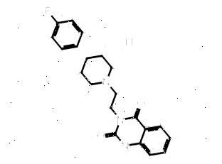 O=C(O)[C@@H]1CN(CCn2c(=O)[nH]c3ccccc3c2=O)CC[C@@H]1c1ccc(F)cc1